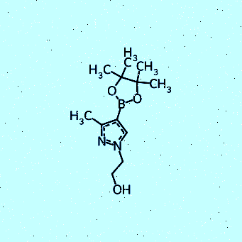 Cc1nn(CCO)cc1B1OC(C)(C)C(C)(C)O1